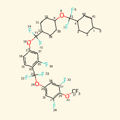 CC1CCC(C(F)(F)OC2CCC(C(F)(F)Oc3ccc(C(F)(F)Oc4cc(F)c(OC(F)(F)F)c(F)c4)c(F)c3)CC2)CC1